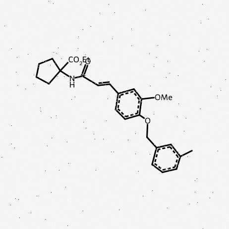 CCOC(=O)C1(NC(=O)/C=C/c2ccc(OCc3cccc(C)c3)c(OC)c2)CCCC1